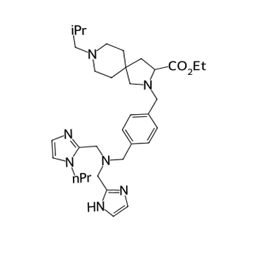 CCCn1ccnc1CN(Cc1ccc(CN2CC3(CCN(CC(C)C)CC3)CC2C(=O)OCC)cc1)Cc1ncc[nH]1